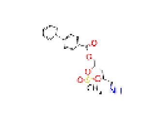 CS(=O)(=O)O[C@@H](CCC=N)COC(=O)c1ccc(-c2ccccc2)cc1